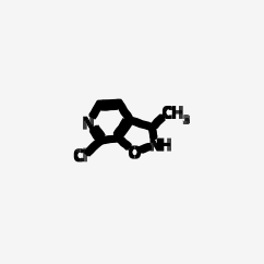 CC1NOc2c1ccnc2Cl